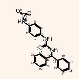 O=C(Nc1ccc(N[SH](=O)=O)cc1)NC(c1ccccc1)c1ccccc1